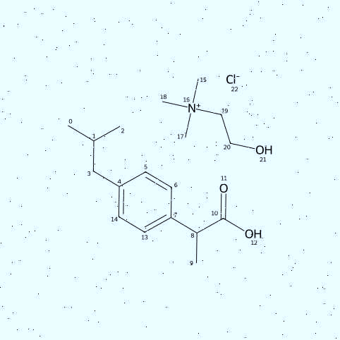 CC(C)Cc1ccc(C(C)C(=O)O)cc1.C[N+](C)(C)CCO.[Cl-]